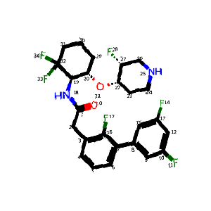 O=C(Cc1cccc(-c2cc(F)cc(F)c2)c1F)N[C@@H]1[C@@H](O[C@H]2CCNC[C@H]2F)CCCC1(F)F